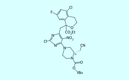 CCOC(=O)C1(Cc2nc(Cl)nc(N3CCN(C(=O)OC(C)(C)C)[C@@H](CC#N)C3)c2[N+](=O)[O-])OCCc2c(Cl)cc(F)cc21